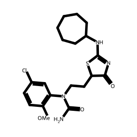 COc1ccc(Cl)cc1N(CCC1SC(NC2CCCCCC2)=NC1=O)C(N)=O